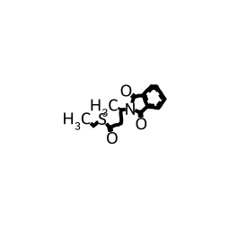 CCSC(=O)C[C@@H](C)N1C(=O)c2ccccc2C1=O